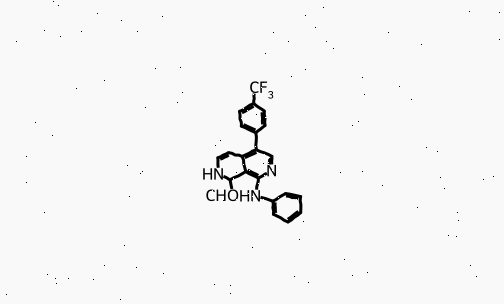 O=CC1NC=Cc2c(-c3ccc(C(F)(F)F)cc3)cnc(Nc3ccccc3)c21